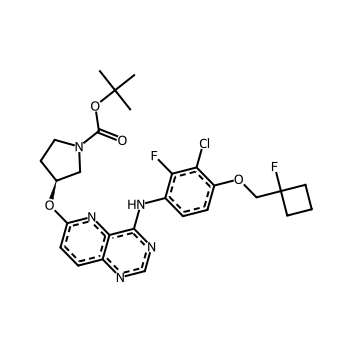 CC(C)(C)OC(=O)N1CC[C@H](Oc2ccc3ncnc(Nc4ccc(OCC5(F)CCC5)c(Cl)c4F)c3n2)C1